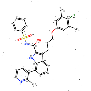 Cc1cc(OCCCc2c(C(O)NS(=O)(=O)c3ccccc3)[nH]c3c(-c4cccnc4C)cccc23)cc(C)c1Cl